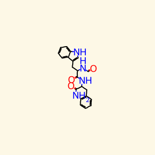 NC(=O)C(Cc1ccccc1)NC(=O)C(Cc1c[nH]c2ccccc12)NC=O